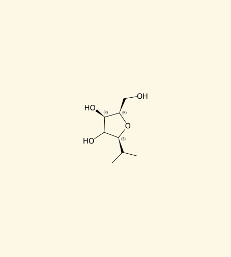 CC(C)[C@@H]1O[C@H](CO)[C@H](O)C1O